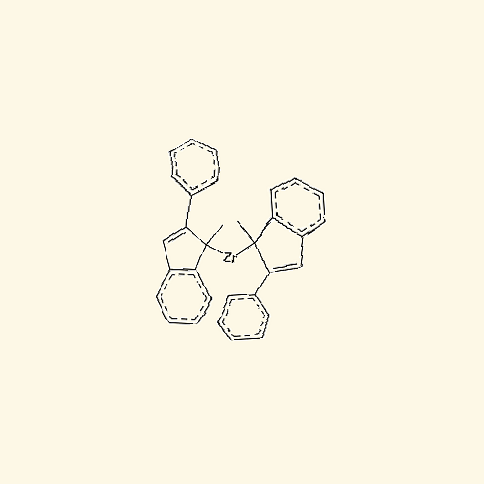 C[C]1([Zr][C]2(C)C(c3ccccc3)=Cc3ccccc32)C(c2ccccc2)=Cc2ccccc21